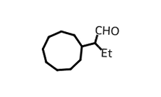 CCC(C=O)C1CCCCCCCC1